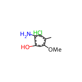 COc1cc(O)c(N)cc1C.Cl